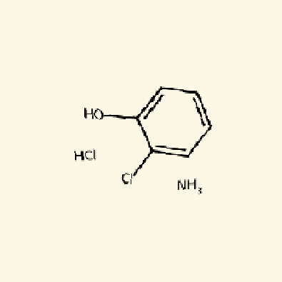 Cl.N.Oc1ccccc1Cl